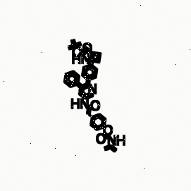 CC(C)NC(=O)O[C@H]1CC[C@H](CC(=O)Nc2cnc(-c3ccc(C4(NC(=O)OC(C)(C)C)CCC4)cc3)c(-c3ccccc3)c2)CC1